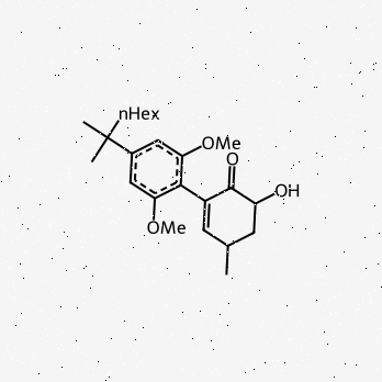 CCCCCCC(C)(C)c1cc(OC)c(C2=CC(C)CC(O)C2=O)c(OC)c1